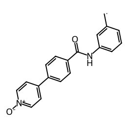 [CH2]c1cccc(NC(=O)c2ccc(-c3cc[n+]([O-])cc3)cc2)c1